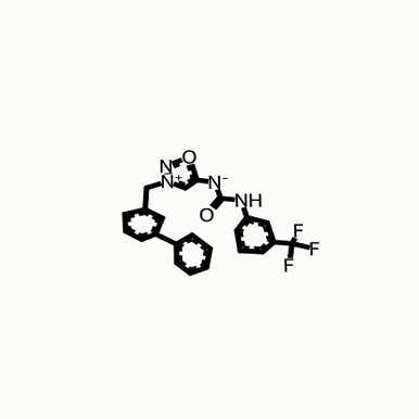 O=C([N-]c1c[n+](Cc2cccc(-c3ccccc3)c2)no1)Nc1cccc(C(F)(F)F)c1